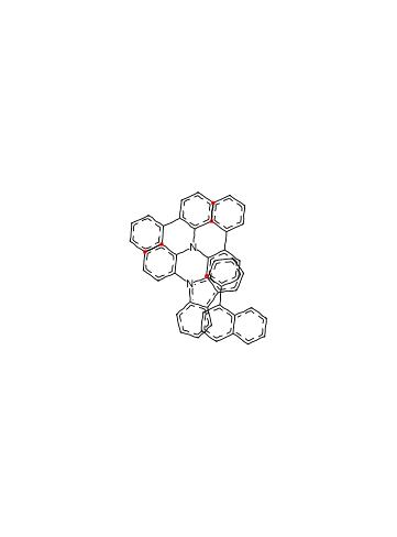 c1ccc(-c2ccccc2N(c2cc(-c3cccc4ccccc34)ccc2-c2ccccc2)c2ccccc2-n2c3ccccc3c3ccccc32)cc1